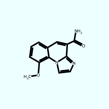 COc1cccc2cc(C(N)=O)c3nccn3c12